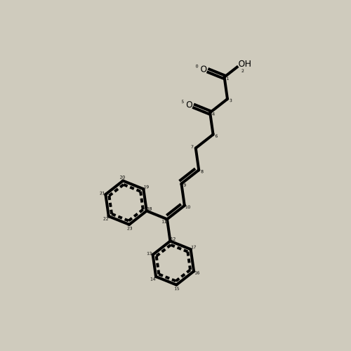 O=C(O)CC(=O)CCC=CC=C(c1ccccc1)c1ccccc1